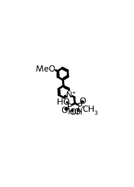 COc1cccc(-c2ccc[n+](CC(P(C)(=O)O)P(=O)(O)O)c2)c1